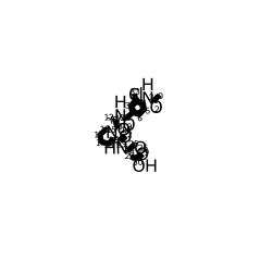 CC(=O)Nc1ccc(C(=O)N[C@@H](C)C(=O)N2CCCC[C@H]2C(=O)N[C@H](C=O)CC(=O)O)cc1Cl